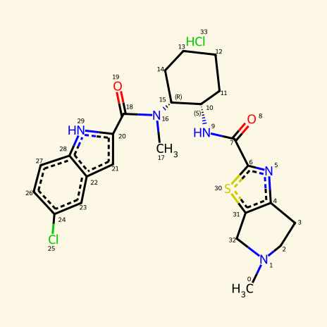 CN1CCc2nc(C(=O)N[C@H]3CCCC[C@H]3N(C)C(=O)c3cc4cc(Cl)ccc4[nH]3)sc2C1.Cl